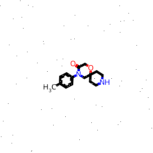 Cc1ccc(N2CC3(CCNCC3)OCC2=O)cc1